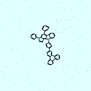 c1ccc(-c2cc3c(ccn3-c3ccccc3)c3c2c2ccccc2n3-c2ccc(-c3ccc4c5ccccc5c5ccccc5c4c3)cc2)cc1